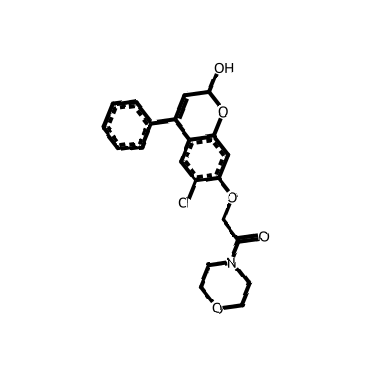 O=C(COc1cc2c(cc1Cl)C(c1ccccc1)=CC(O)O2)N1CCOCC1